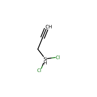 C#CC[SiH](Cl)Cl